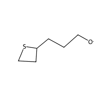 [O]CCCC1CCS1